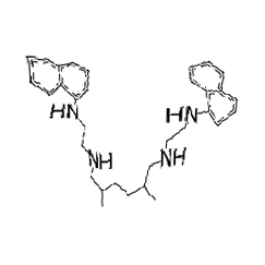 CC(CCC(C)CNCCNc1cccc2ccccc12)CNCCNc1cccc2ccccc12